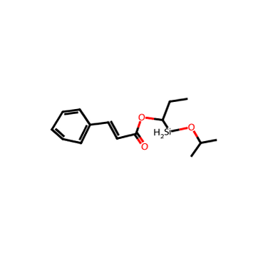 CCC(OC(=O)C=Cc1ccccc1)[SiH2]OC(C)C